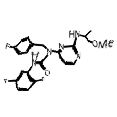 COCC(C)Nc1nccc(N(Cc2ccc(F)cc2)C(=O)Nc2cc(F)ccc2F)n1